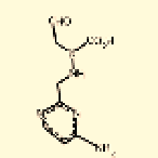 Nc1ccnc(CNN(CC=O)C(=O)O)n1